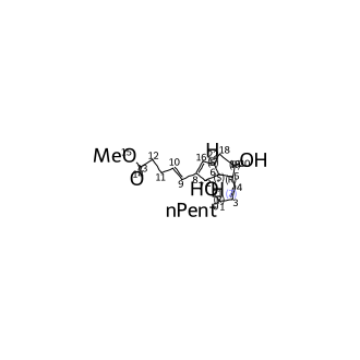 CCCCC[C@@H](O)/C=C\[C@H]1[C@H]2CC(C=CCCC(=O)OC)=C[C@H]2C[C@H]1O